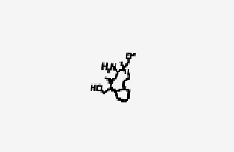 CC/C=c1\cccc\c1=C(/CO)N(C)CC(N)C(C)(C)COC